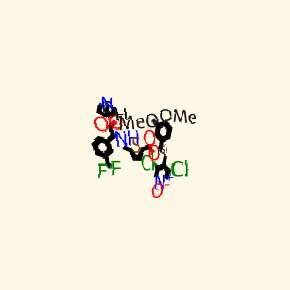 COc1ccc([C@H](Cc2c(Cl)c[n+]([O-])cc2Cl)OC(=O)c2ccc(CNC(C(=O)O[C@H]3CN4CCC3CC4)c3cccc(C(F)F)c3)s2)cc1OC